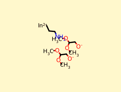 COC(C[O-])OC.COC(C[O-])OC.NCC[CH2][In+2]